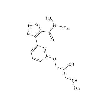 CN(C)C(=O)c1snnc1-c1cccc(OCC(O)CNC(C)(C)C)c1